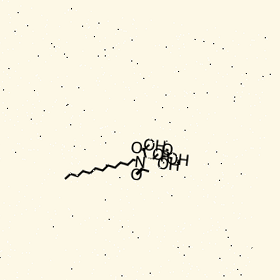 CCCCCCCCCCCCN(C(C)=O)[C@@H](COP(=O)(O)O)C(=O)O